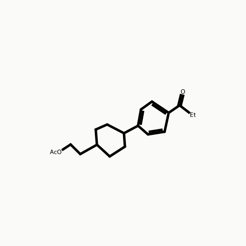 CCC(=O)c1ccc(C2CCC(CCOC(C)=O)CC2)cc1